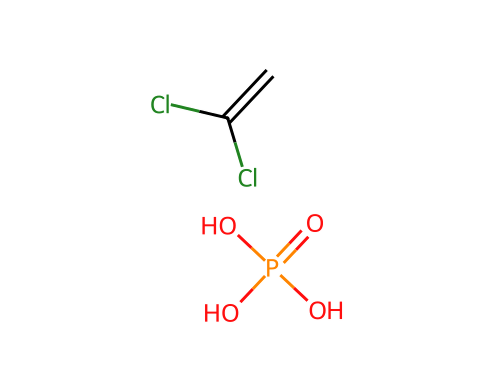 C=C(Cl)Cl.O=P(O)(O)O